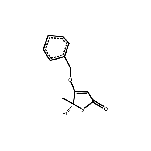 CC[C@@]1(C)SC(=O)C=C1OCc1ccccc1